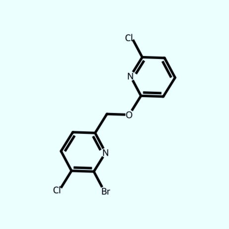 Clc1cccc(OCc2ccc(Cl)c(Br)n2)n1